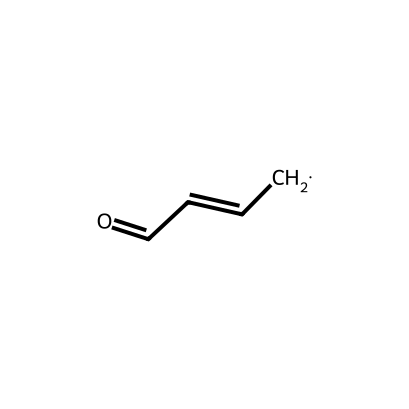 [CH2]/C=C/C=O